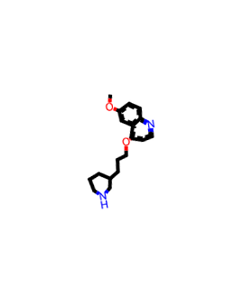 COc1ccc2nccc(OCCCC3CCCNC3)c2c1